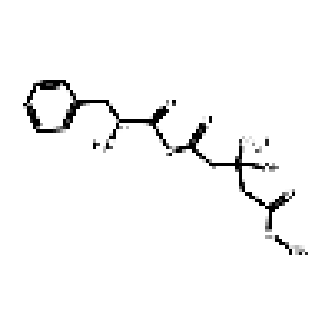 CCCCOC(=O)CC(O)(CC(=O)OC(=O)[C@@H](N)Cc1ccccc1)C(=O)O